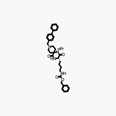 CCCN1C(=O)[C@H](CCCCNC(=O)OCc2ccccc2)NC(=O)C12CCN(Cc1ccc(-c3ccccc3)cc1)CC2